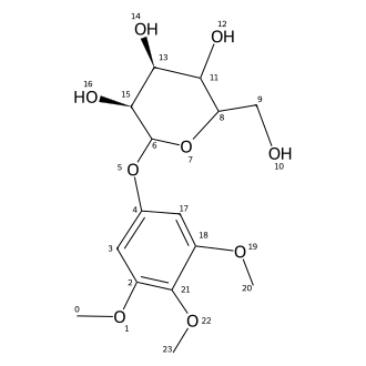 COc1cc(OC2OC(CO)C(O)[C@H](O)[C@@H]2O)cc(OC)c1OC